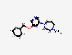 CN1CCCN(c2cncc(OCC3CCCCC3)c2)CC1